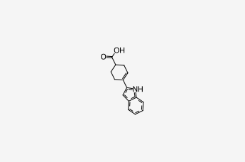 O=C(O)C1CC=C(c2cc3ccccc3[nH]2)CC1